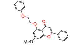 COc1cc(OCCOc2ccccc2)c2c(=O)cc(-c3ccccc3)oc2c1